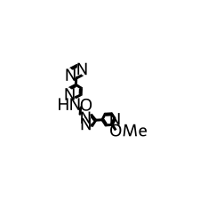 COc1cc(-c2cnn(CC(=O)Nc3ccc(-c4cnccn4)cn3)c2)ccn1